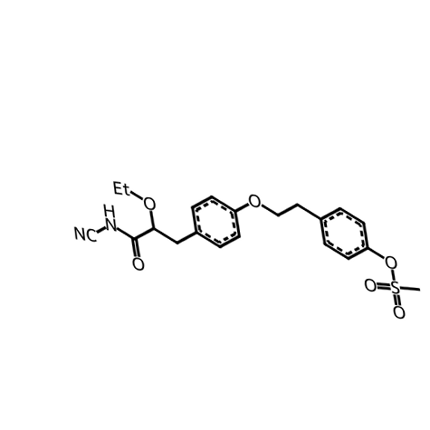 CCOC(Cc1ccc(OCCc2ccc(OS(C)(=O)=O)cc2)cc1)C(=O)NC#N